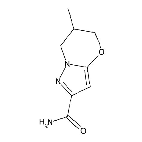 CC1COc2cc(C(N)=O)nn2C1